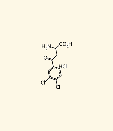 Cl.NC(CC(=O)c1ccc(Cl)c(Cl)c1)C(=O)O